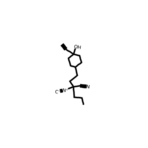 [C-]#[N+]C(C#N)(CCC)CCC1CCC(O)(C#C)CC1